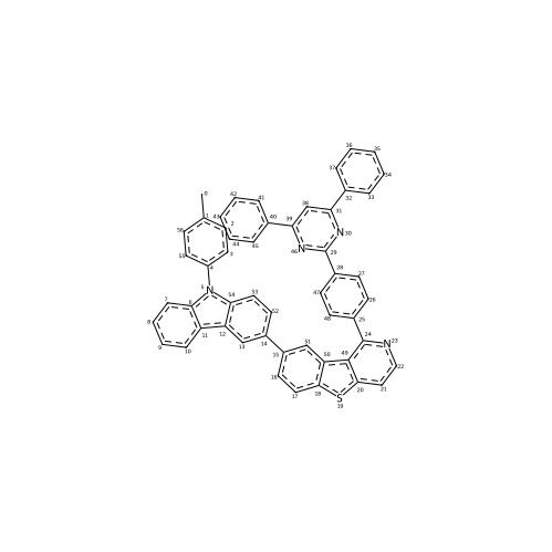 Cc1ccc(-n2c3ccccc3c3cc(-c4ccc5sc6ccnc(-c7ccc(-c8nc(-c9ccccc9)cc(-c9ccccc9)n8)cc7)c6c5c4)ccc32)cc1